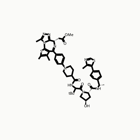 COC(=O)C[C@@H]1N=C(c2ccc(N3CCC(C(=O)NC(C(=O)N4C[C@H](O)C[C@H]4C(=O)N[C@@H](C)c4ccc(-c5scnc5C)cc4)C(C)(C)C)CC3)cc2)c2c(sc(C)c2C)-n2c(C)nnc21